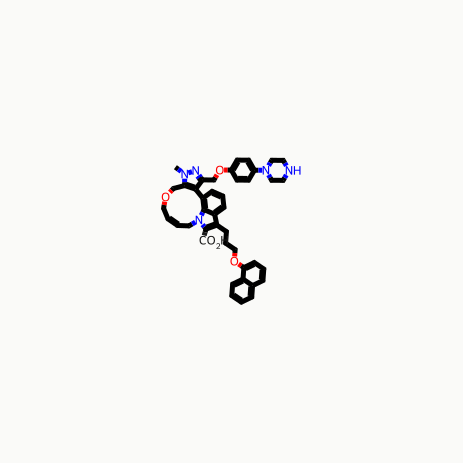 Cn1nc(COc2ccc(N3CCNCC3)cc2)c2c1COC/C=C\Cn1c(C(=O)O)c(CCCOc3cccc4ccccc34)c3cccc-2c31